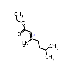 CCOC(=O)/C=C(\N)CCC(C)C